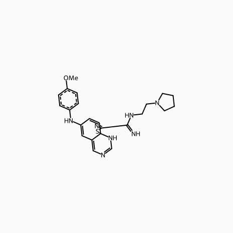 COc1ccc(NC2=CC3=CN=CNC34SC(C(=N)NCCN3CCCC3)=NC4=C2)cc1